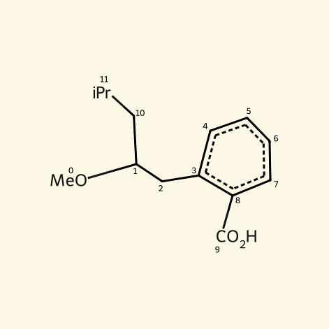 COC(Cc1ccccc1C(=O)O)CC(C)C